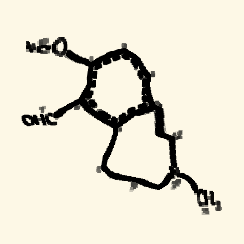 COc1ccc2c(c1C=O)CCN(C)C2